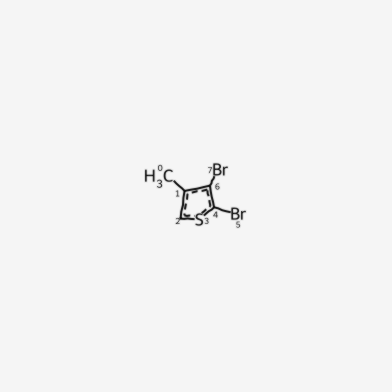 Cc1csc(Br)c1Br